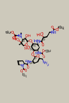 CN(C(=O)OC(C)(C)C)[C@@H]1[C@@H](O)[C@@H](O[C@@H]2[C@@H](O)[C@H](O[C@H]3OC(CN)=CC[C@H]3NC(=O)C3CCCN3C(=O)OC(C)(C)C)[C@@H](NC(=O)OC(C)(C)C)C[C@H]2NC(=O)[C@@H](O)CCNC(=O)OC(C)(C)C)OC[C@]1(C)O